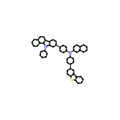 c1ccc(-n2c3cc(-c4ccc(N(c5ccc(-c6ccc7sc8ccccc8c7c6)cc5)c5ccc6ccccc6c5)cc4)ccc3c3ccc4ccccc4c32)cc1